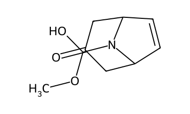 COC(O)N1C2C=CC1CC(=O)C2